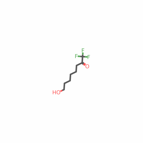 O=C(CCCCCCO)C(F)(F)F